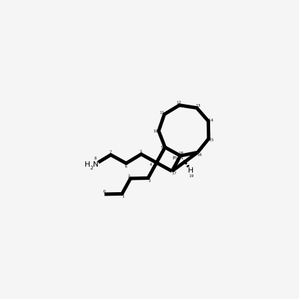 CCCCC1(CCCN)C2CCCCCCC3C1[C@H]32